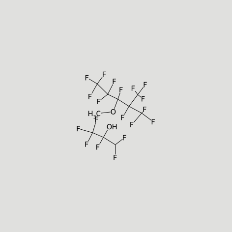 COC(F)(C(F)(F)C(F)(F)F)C(F)(C(F)(F)F)C(F)(F)F.OC(F)(C(F)F)C(F)(F)F